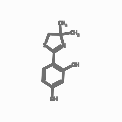 CC1(C)CSC(c2ccc(O)cc2O)=N1